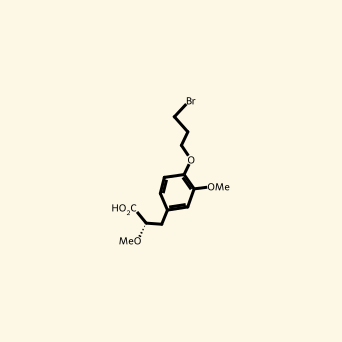 COc1cc(C[C@H](OC)C(=O)O)ccc1OCCCBr